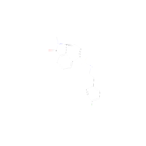 CCN1C(=O)c2cccc3c(S(=O)(=O)NCCc4ccc(Cl)cc4)ccc1c23